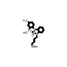 CNCC=CCN1c2ccccc2N(c2ccc(C)cc2F)S1(=O)=O.Cl